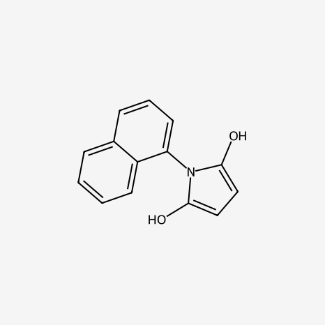 Oc1ccc(O)n1-c1cccc2ccccc12